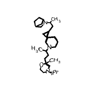 CC(C)N1CCOC(C)(CCC(C)N2CCCC3(CC3CC(C)N3CC4CCC3C4)C2)C1